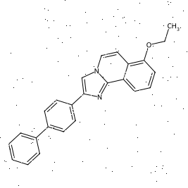 CCOc1cccc2c1ccn1cc(-c3ccc(-c4ccccc4)cc3)nc21